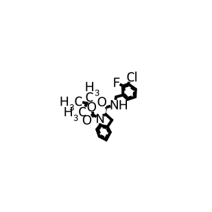 CC(C)(C)OC(=O)N1c2ccccc2C[C@H]1C(=O)NCc1cccc(Cl)c1F